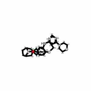 CN1CC(N2C3CCC2CC(c2ccc4c(c2)Nc2ncnc(N5CCOCC5)c2CO4)C3)C1